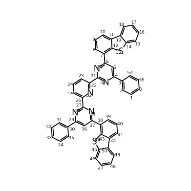 c1ccc(-c2cc(-c3cccc4c3sc3ccccc34)nc(-c3cccc(-c4nc(-c5ccccc5)cc(-c5cccc6c5sc5ccccc56)n4)n3)n2)cc1